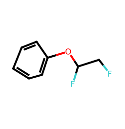 FCC(F)Oc1ccccc1